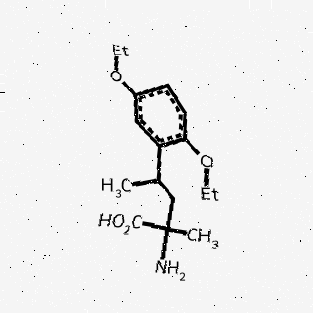 CCOc1ccc(OCC)c(C(C)CC(C)(N)C(=O)O)c1